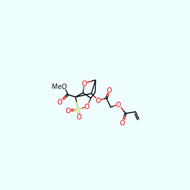 C=CC(=O)OCC(=O)OC1C2CC3OS(=O)(=O)C1(C(=O)OC)C3O2